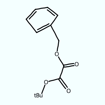 CC(C)(C)OC(=O)C(=O)OCc1ccccc1